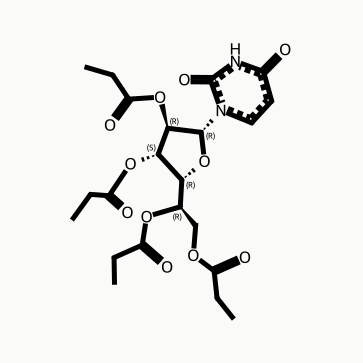 CCC(=O)OC[C@@H](OC(=O)CC)[C@H]1O[C@@H](n2ccc(=O)[nH]c2=O)[C@H](OC(=O)CC)[C@H]1OC(=O)CC